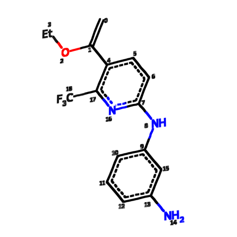 C=C(OCC)c1ccc(Nc2cccc(N)c2)nc1C(F)(F)F